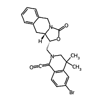 CC1(C)CN(C[C@H]2OC(=O)N3Cc4ccccc4C[C@@H]23)C(=C=O)c2ccc(Br)cc21